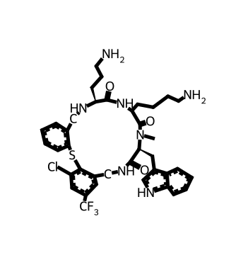 CN1C(=O)C(CCCCN)NC(=O)[C@H](CCCN)NCc2ccccc2Sc2c(Cl)cc(C(F)(F)F)cc2CNC(=O)[C@@H]1Cc1c[nH]c2ccccc12